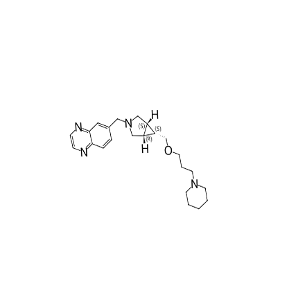 c1cnc2cc(CN3C[C@@H]4[C@H](COCCCN5CCCCC5)[C@@H]4C3)ccc2n1